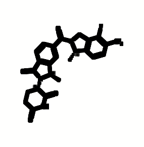 C[C@@H]1c2cc(C(=O)N3Cc4c(ccc(C(F)(F)F)c4F)[C@@H]3C)ccc2C(=O)N1[C@H]1CCC(=O)NC1=O